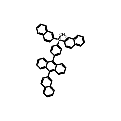 C[Si](c1ccc(-c2c3ccccc3c(-c3ccc4ccccc4c3)c3ccccc23)cc1)(c1ccc2ccccc2c1)c1ccc2ccccc2c1